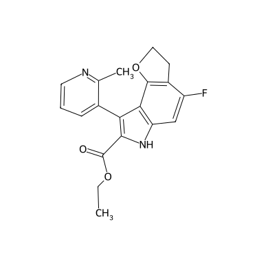 CCOC(=O)c1[nH]c2cc(F)c3c(c2c1-c1cccnc1C)OCC3